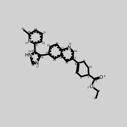 CCOC(=O)C1CC=C(c2cnc3ccc(-c4nc[nH]c4-c4cccc(C)n4)cc3c2)CC1